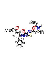 CC[C@H](C)CC(=O)N(C)C(CCc1nc(C(=O)N[C@@H](Cc2ccccc2)C[C@H](C)C(=O)OC)cs1)C(C)C